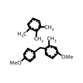 COc1ccc(Cc2ccc(OC)cc2C)cc1.Cc1cccc(C)c1C